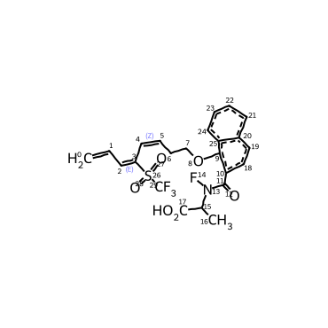 C=C/C=C(\C=C/CCOc1c(C(=O)N(F)C(C)C(=O)O)ccc2ccccc12)S(=O)(=O)C(F)(F)F